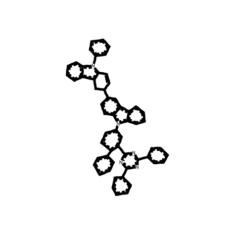 C1=CC(c2ccc3c(c2)c2ccccc2n3-c2ccc(-c3ccccc3)c(-c3nc(-c4ccccc4)nc(-c4ccccc4)n3)c2)Cc2c1n(-c1ccccc1)c1ccccc21